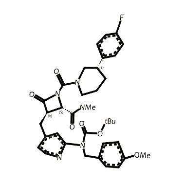 CNC(=O)[C@@H]1[C@@H](Cc2ccnc(N(Cc3ccc(OC)cc3)C(=O)OC(C)(C)C)c2)C(=O)N1C(=O)N1CCC[C@@H](c2ccc(F)cc2)C1